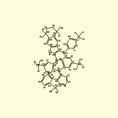 CC(C)(C)c1ccc(N2c3cc(C(C)(C)C)cc4c3B(c3cc(C(C)(C)C)ccc3N4c3cccc4c3-c3ccccc3C4(C)C)c3oc4cc5c(cc4c32)C(C)(C)CCC5(C)C)cc1